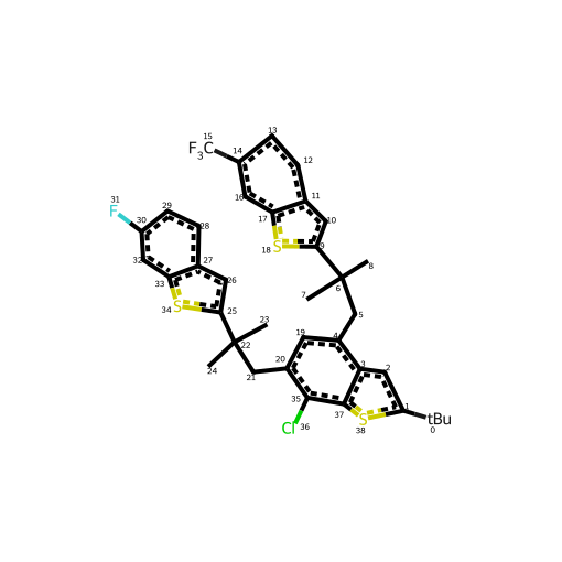 CC(C)(C)c1cc2c(CC(C)(C)c3cc4ccc(C(F)(F)F)cc4s3)cc(CC(C)(C)c3cc4ccc(F)cc4s3)c(Cl)c2s1